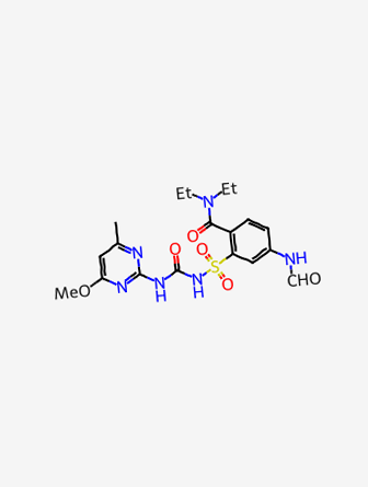 CCN(CC)C(=O)c1ccc(NC=O)cc1S(=O)(=O)NC(=O)Nc1nc(C)cc(OC)n1